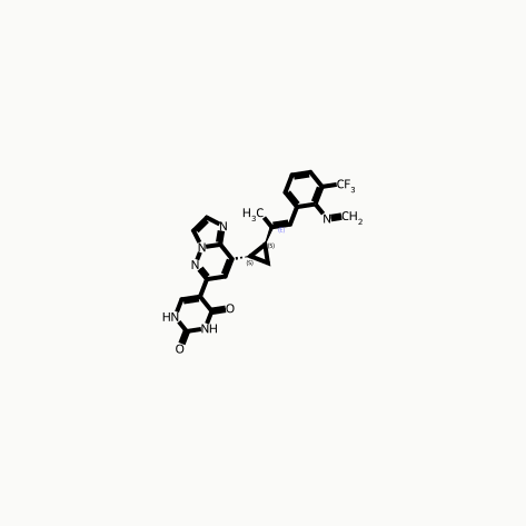 C=Nc1c(/C=C(\C)[C@H]2C[C@@H]2c2cc(-c3c[nH]c(=O)[nH]c3=O)nn3ccnc23)cccc1C(F)(F)F